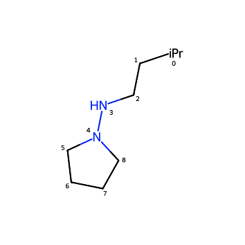 CC(C)CCNN1CCCC1